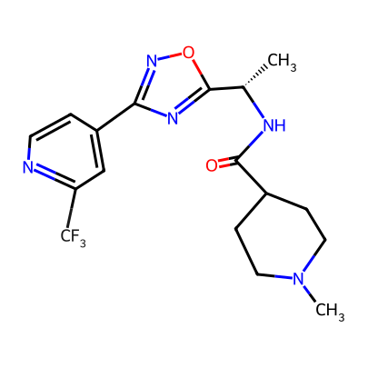 C[C@H](NC(=O)C1CCN(C)CC1)c1nc(-c2ccnc(C(F)(F)F)c2)no1